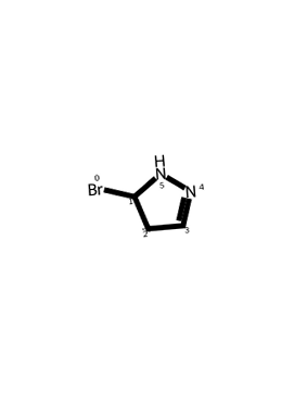 BrC1[CH]C=NN1